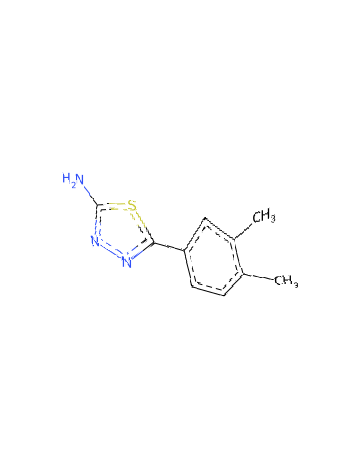 Cc1ccc(-c2nnc(N)s2)cc1C